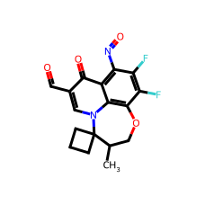 CC1COc2c(F)c(F)c(N=O)c3c(=O)c(C=O)cn(c23)C12CCC2